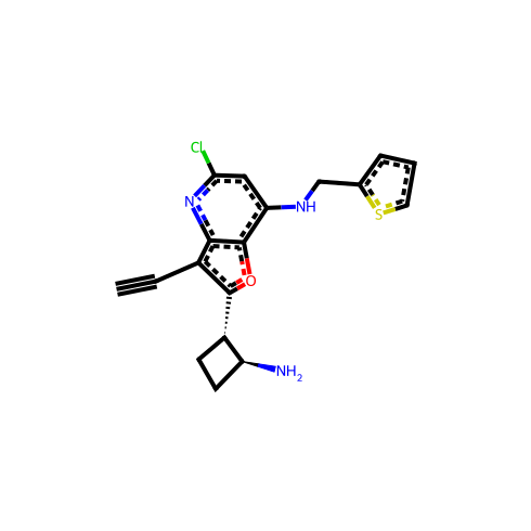 C#Cc1c([C@H]2CC[C@@H]2N)oc2c(NCc3cccs3)cc(Cl)nc12